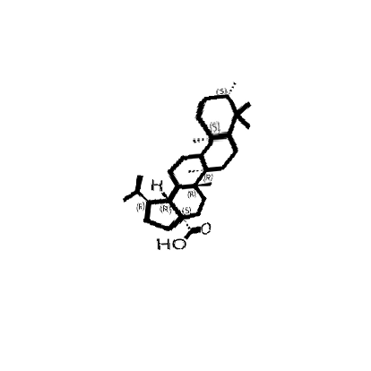 C=C(C)[C@@H]1CC[C@]2(C(=O)O)CC[C@]3(C)C(CCC4[C@@]5(C)CC[C@H](C)C(C)(C)C5CC[C@]43C)[C@@H]12